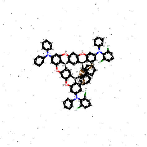 Fc1cccc(F)c1N(c1ccccc1)c1cc2c3c(c1)Sc1c(sc4ccccc14)B3c1cc3c(cc1O2)Oc1cc(N(c2ccccc2)c2ccccc2)cc2c1B3c1cc3c(cc1O2)Oc1cc(N(c2ccccc2)c2c(F)cccc2F)cc2c1B3c1sc3ccccc3c1S2